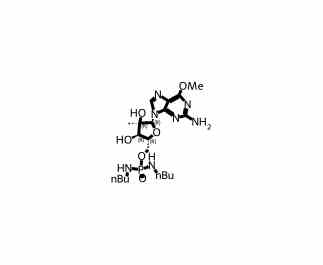 CCCCNP(=O)(NCCCC)OC[C@H]1O[C@@H](n2cnc3c(OC)nc(N)nc32)[C@](C)(O)[C@@H]1O